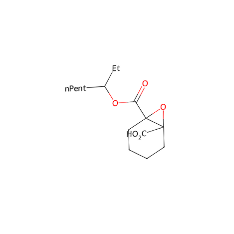 CCCCCC(CC)OC(=O)C12CCCCC1(C(=O)O)O2